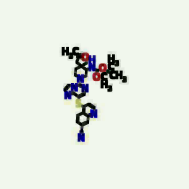 C[C@H]1CC2(CCN(c3ncc(Sc4ccnc5cc(C#N)ccc45)c4nccn34)CC2NC(=O)OC(C)(C)C)CO1